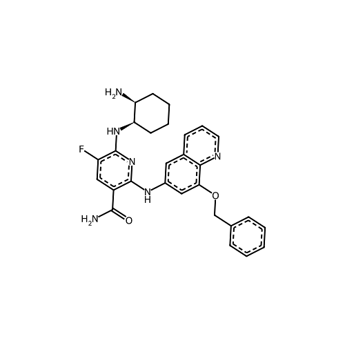 NC(=O)c1cc(F)c(N[C@@H]2CCCC[C@@H]2N)nc1Nc1cc(OCc2ccccc2)c2ncccc2c1